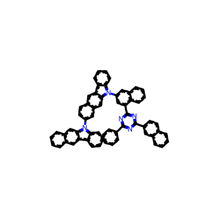 c1ccc(-c2nc(-c3ccc4ccccc4c3)nc(-c3cc(-n4c5ccccc5c5cc6ccc(-n7c8ccccc8c8cc9ccccc9cc87)cc6cc54)cc4ccccc34)n2)cc1